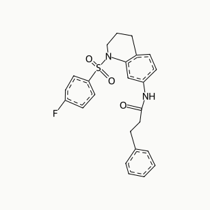 O=C(CCc1ccccc1)Nc1ccc2c(c1)N(S(=O)(=O)c1ccc(F)cc1)CCC2